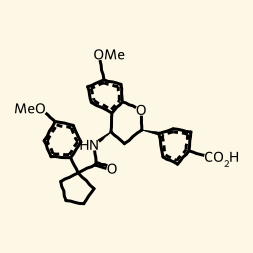 COc1ccc(C2(C(=O)N[C@@H]3C[C@H](c4ccc(C(=O)O)cc4)Oc4cc(OC)ccc43)CCCC2)cc1